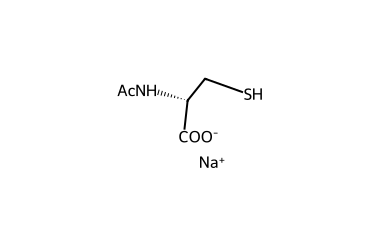 CC(=O)N[C@H](CS)C(=O)[O-].[Na+]